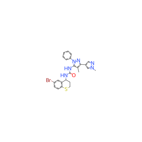 Cc1c(-c2cnn(C)c2)nn(-c2ccccc2)c1NC(=O)NC1CCSc2ccc(Br)cc21